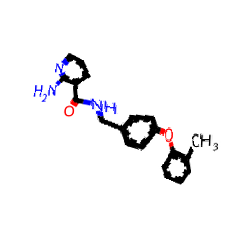 Cc1ccccc1Oc1ccc(CNC(=O)c2cccnc2N)cc1